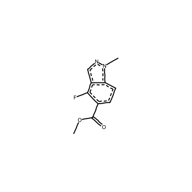 COC(=O)c1ccc2c(cnn2C)c1F